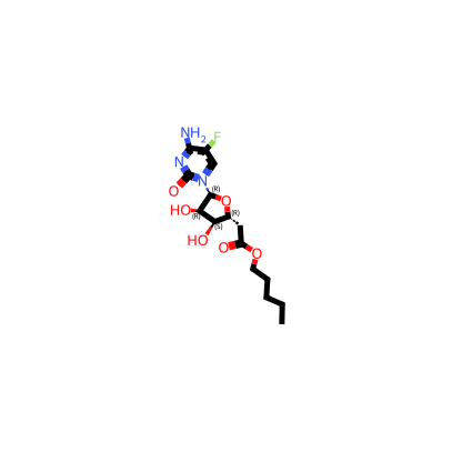 CCCCCOC(=O)C[C@H]1O[C@@H](n2cc(F)c(N)nc2=O)[C@H](O)[C@@H]1O